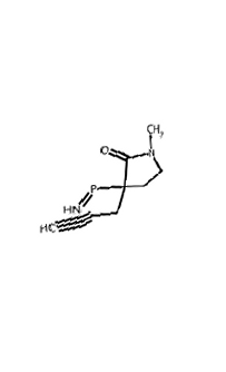 C#CCC1(P=N)CCN(C)C1=O